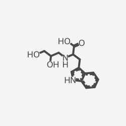 O=C(O)C(Cc1c[nH]c2ccccc12)NCC(O)CO